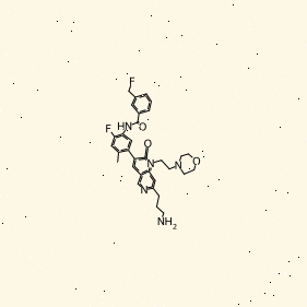 Cc1cc(F)c(NC(=O)c2cccc(CF)c2)cc1-c1cc2cnc(CCCN)cc2n(CCN2CCOCC2)c1=O